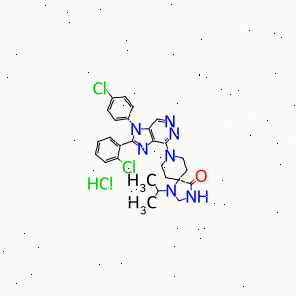 CC(C)N1CNC(=O)C12CCN(c1nncc3c1nc(-c1ccccc1Cl)n3-c1ccc(Cl)cc1)CC2.Cl